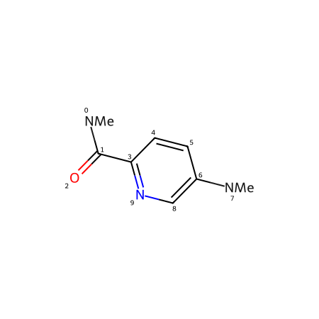 CNC(=O)c1ccc(NC)cn1